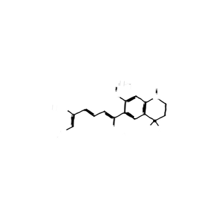 CCCCCCCOc1cc2c(cc1C(C)=CC=CC(C)=CC(=O)O)C(C)(C)CC[S+]2[O-]